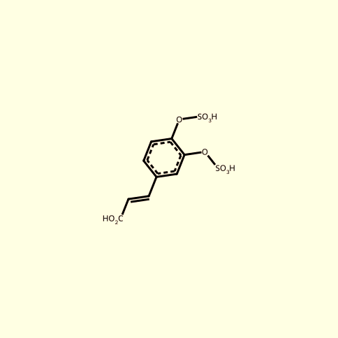 O=C(O)C=Cc1ccc(OS(=O)(=O)O)c(OS(=O)(=O)O)c1